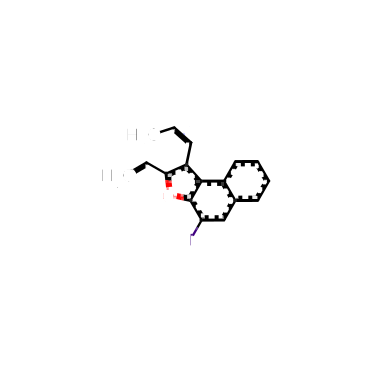 C=Cc1oc2c(I)cc3ccccc3c2c1/C=C\C